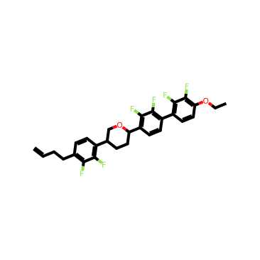 C=CCCc1ccc(C2CCC(c3ccc(-c4ccc(OCC)c(F)c4F)c(F)c3F)OC2)c(F)c1F